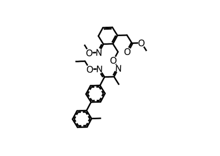 CCON=C(C(C)=NOCC1=C(CC(=O)OC)C=CCC1=NOC)c1ccc(-c2ccccc2C)cc1